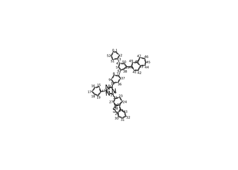 c1ccc(-c2cc(-c3ccc(-c4nc(-c5ccccc5)nc(-c5ccc6c(c5)sc5ccccc56)n4)cc3)cc(-c3ccc4ccccc4c3)c2)cc1